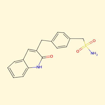 NS(=O)(=O)Cc1ccc(Cc2cc3ccccc3[nH]c2=O)cc1